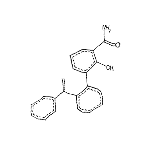 C=C(c1ccccc1)c1ccccc1-c1cccc(C(N)=O)c1O